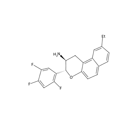 CCc1ccc2ccc3c(c2c1)C[C@H](N)[C@@H](c1cc(F)c(F)cc1F)O3